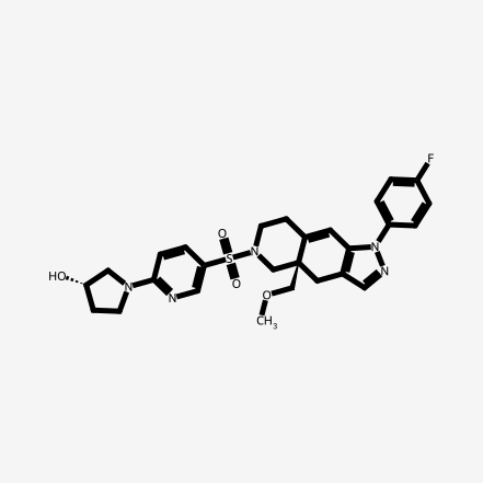 COC[C@]12Cc3cnn(-c4ccc(F)cc4)c3C=C1CCN(S(=O)(=O)c1ccc(N3CC[C@H](O)C3)nc1)C2